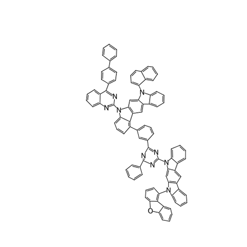 c1ccc(-c2ccc(-c3nc(-n4c5cc6c(cc5c5c(-c7cccc(-c8nc(-c9ccccc9)nc(-n9c%10ccccc%10c%10cc%11c%12ccccc%12n(-c%12cccc%13oc%14ccccc%14c%12%13)c%11cc%109)n8)c7)cccc54)c4ccccc4n6-c4cccc5ccccc45)nc4ccccc34)cc2)cc1